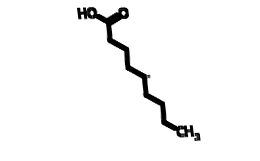 CCCC[CH]CCCC(=O)O